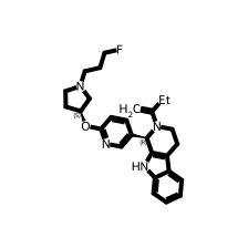 C=C(CC)N1CCc2c([nH]c3ccccc23)[C@H]1c1ccc(O[C@H]2CCN(CCCF)C2)nc1